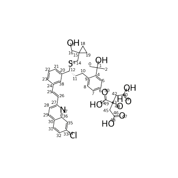 CC(C)(O)c1ccccc1CC[C@@H](SCC1(CO)CC1)c1cccc(/C=C/c2ccc3ccc(Cl)cc3n2)c1.O=C(O)CC(O)(CC(=O)O)C(=O)O